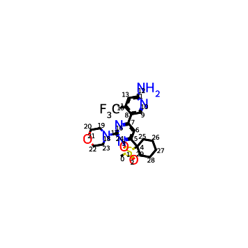 CS(=O)(=O)C1(c2cc(-c3cnc(N)cc3C(F)(F)F)nc(N3CCOCC3)n2)CCCCC1